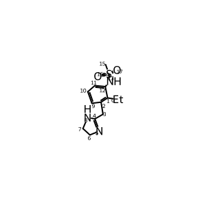 CCc1c(CC2=NCCN2)cccc1NS(C)(=O)=O